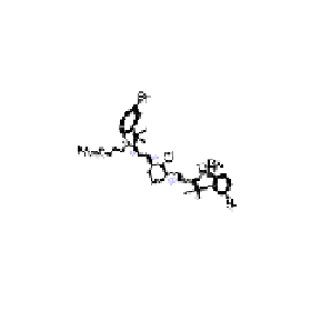 CCCC[N+]1=C(/C=C/C2=C(Cl)C(=C/C=C3/N(CCCOC)c4ccc(Br)cc4C3(C)C)/CCC2)C(C)(C)c2cc(Br)ccc21